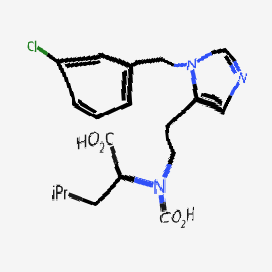 CC(C)CC(C(=O)O)N(CCc1cncn1Cc1cccc(Cl)c1)C(=O)O